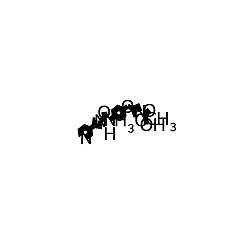 CC(C)(O)C(=O)N1CC(Oc2ccc(NC(=O)N3CC(c4cccnc4)C3)cc2)C1